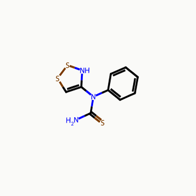 NC(=S)N(C1=CSSN1)c1ccccc1